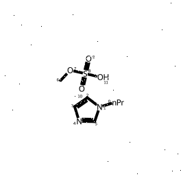 CCCn1ccnc1.COS(=O)(=O)O